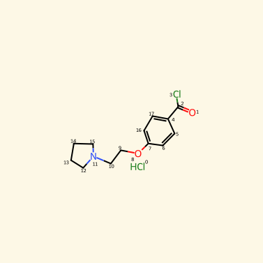 Cl.O=C(Cl)c1ccc(OCCN2CCCC2)cc1